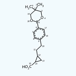 CC1(C)COB(c2ccc(CCC3CC3C(=O)O)cc2)OC1